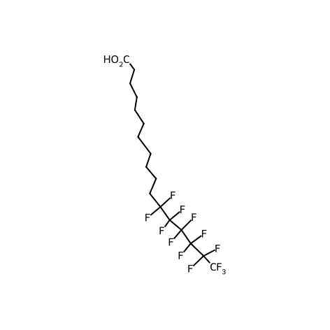 O=C(O)CCCCCCCCCCC(F)(F)C(F)(F)C(F)(F)C(F)(F)C(F)(F)C(F)(F)F